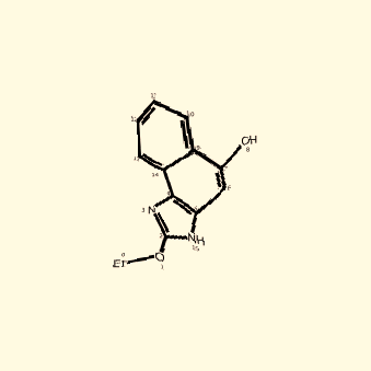 CCOc1nc2c(cc(O)c3ccccc32)[nH]1